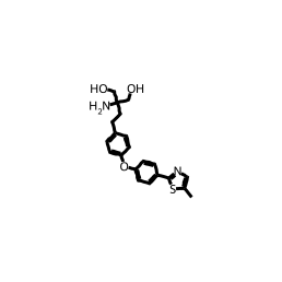 Cc1cnc(-c2ccc(Oc3ccc(CCC(N)(CO)CO)cc3)cc2)s1